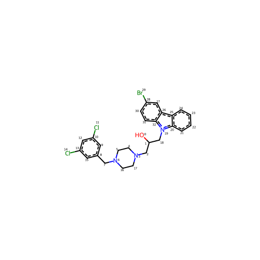 OC(CN1CCN(Cc2cc(Cl)cc(Cl)c2)CC1)Cn1c2ccccc2c2cc(Br)ccc21